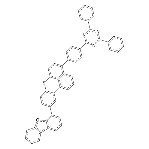 c1ccc(-c2nc(-c3ccccc3)nc(-c3ccc(-c4ccc5c6c(cccc46)-c4cc(-c6cccc7c6oc6ccccc67)ccc4S5)cc3)n2)cc1